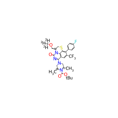 [2H]C([2H])([2H])OC[C@H]1CSc2c(-c3ccc(F)cc3)c(C(F)(F)F)cc3c(N4C[C@@H](C)N(C(=O)OC(C)(C)C)[C@@H](C)C4)nc(=O)n1c23